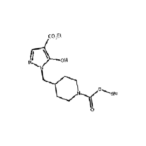 CCOC(=O)c1cnn(CC2CCN(C(=O)OC(C)(C)C)CC2)c1O